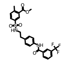 COC(=O)c1cc(S(=O)(=O)NCCc2ccc(NC(=O)c3cccc(C(F)(F)F)c3)cc2)ccc1C